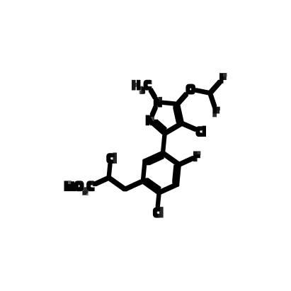 CCOC(=O)C(Cl)Cc1cc(-c2nn(C)c(OC(F)F)c2Cl)c(F)cc1Cl